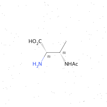 CC(=O)N[C@@H](C)[C@H](N)C(=O)O